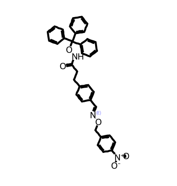 O=C(CCc1ccc(/C=N/OCc2ccc([N+](=O)[O-])cc2)cc1)NOC(c1ccccc1)(c1ccccc1)c1ccccc1